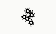 c1ccc2c(c1)cc1c3ccccc3n3c4ccc5oc6ccccc6c5c4c2c13